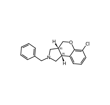 Clc1cccc2c1OC[C@H]1CN(Cc3ccccc3)C[C@@H]21